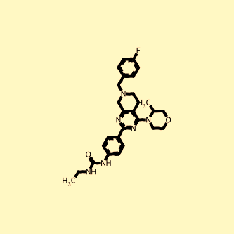 CCNC(=O)Nc1ccc(-c2nc3c(c(N4CCOCC4C)n2)CCN(Cc2ccc(F)cc2)C3)cc1